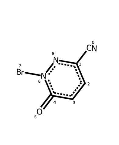 N#Cc1ccc(=O)n(Br)n1